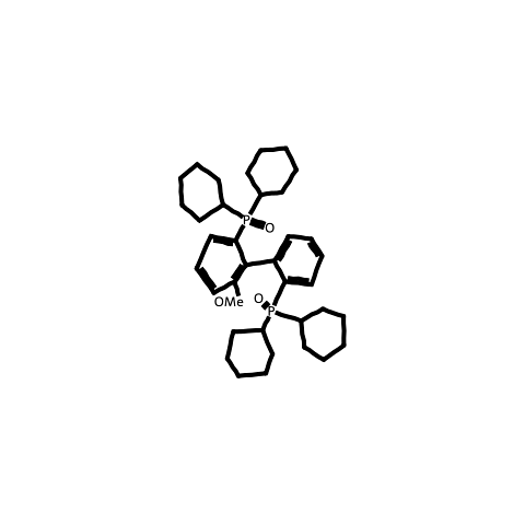 COc1cccc(P(=O)(C2CCCCC2)C2CCCCC2)c1-c1ccccc1P(=O)(C1CCCCC1)C1CCCCC1